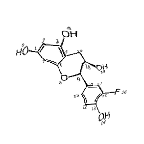 Oc1cc(O)c2c(c1)O[C@H](c1ccc(O)c(F)c1)[C@H](O)C2